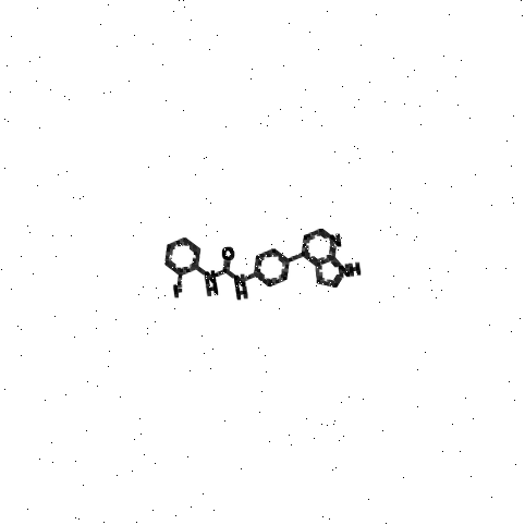 O=C(Nc1ccc(-c2ccnc3[nH]ccc23)cc1)Nc1ccccc1F